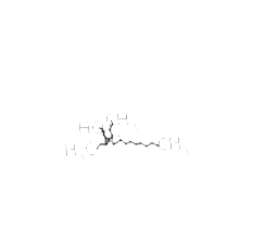 CCCCCCCCCC[N+](CCO)(CCCC)CCCC